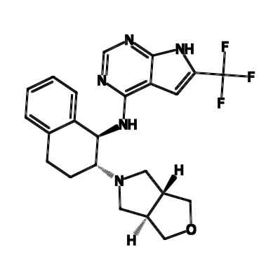 FC(F)(F)c1cc2c(N[C@@H]3c4ccccc4CC[C@H]3N3C[C@@H]4COC[C@H]4C3)ncnc2[nH]1